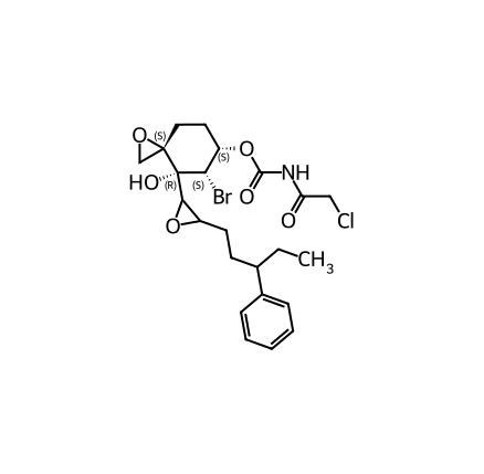 CCC(CCC1OC1[C@]1(O)[C@@H](Br)[C@@H](OC(=O)NC(=O)CCl)CC[C@]12CO2)c1ccccc1